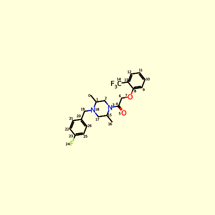 CC1CN(C(=O)COc2ccccc2C(F)(F)F)C(C)CN1Cc1ccc(F)cc1